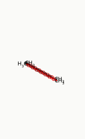 CC(C)CCOCCOCCOCCOCCOCCOCCOCCOCCOCCOCCOCCOCCOCCC(C)C